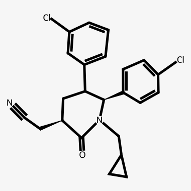 N#CC[C@H]1CC(c2cccc(Cl)c2)[C@@H](c2ccc(Cl)cc2)N(CC2CC2)C1=O